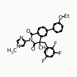 CCOc1cccc(-c2ccc3c(c2)C(C)(Cc2cc(F)cc(F)c2F)C(=O)N(c2cn(C)cn2)C3=O)c1